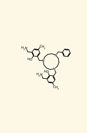 Cc1cc(CN)c(O)c(CN2CCCN(Cc3ccccc3)CCCN(Cc3cc(C)cc(CN)c3O)CCC2)c1